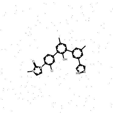 Cc1cc(-c2cn[nH]c2)cc(-c2cc(C)cc(-c3ccc(-n4ccn(C)c4=O)c(Cl)c3)c2O)c1